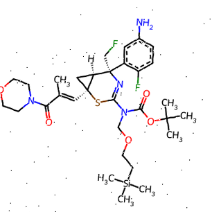 C/C(=C\[C@]12C[C@H]1[C@@](CF)(c1cc(N)ccc1F)N=C(N(COCC[Si](C)(C)C)C(=O)OC(C)(C)C)S2)C(=O)N1CCOCC1